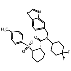 Cc1ccc(S(=O)(=O)[C@@H]2CCCC[C@H]2C(=O)N(Cc2ccc3scnc3c2)C2CCC(F)(F)CC2)cc1